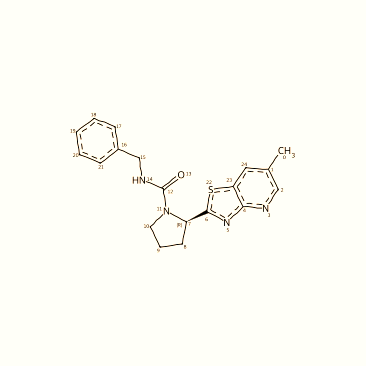 Cc1cnc2nc([C@H]3CCCN3C(=O)NCc3ccccc3)sc2c1